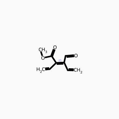 C=C/C(C=O)=C(\C=C)C(=O)OC